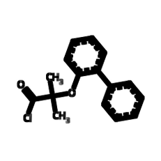 CC(C)(Oc1ccccc1-c1ccccc1)C(=O)Cl